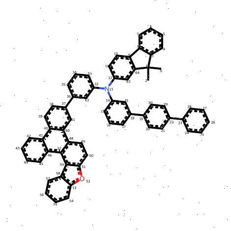 CC1(C)c2ccccc2-c2ccc(N(c3cccc(-c4ccc(-c5ccccc5)cc4)c3)c3cccc(-c4ccc5c6ccccc6c6c(ccc7oc8ccccc8c76)c5c4)c3)cc21